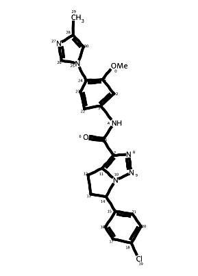 COc1cc(NC(=O)c2nnn3c2CCC3c2ccc(Cl)cc2)ccc1-n1cnc(C)c1